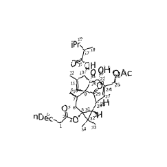 CCCCCCCCCCCC(=O)O[C@@]12C[C@@H](C)[C@]34C=C(C)[C@H](OC(=O)C(C)C(C)C)[C@@]3(O)[C@H](O)C(COC(C)=O)=C[C@H](C4=O)[C@@H]1C2(C)C